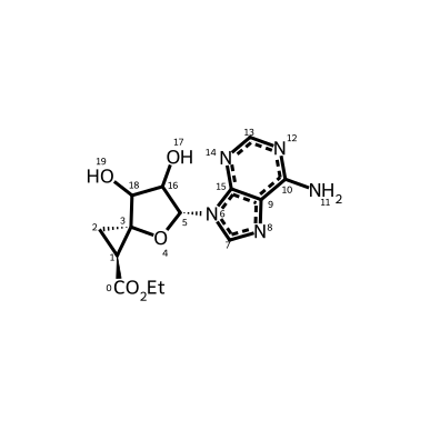 CCOC(=O)[C@H]1C[C@]12O[C@@H](n1cnc3c(N)ncnc31)C(O)C2O